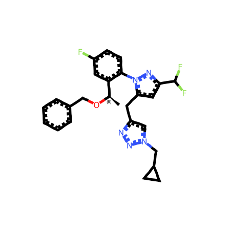 C[C@@H](OCc1ccccc1)c1cc(F)ccc1-n1nc(C(F)F)cc1Cc1cn(CC2CC2)nn1